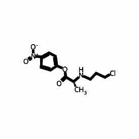 C[C@H](NCCCCl)C(=O)Oc1ccc([N+](=O)[O-])cc1